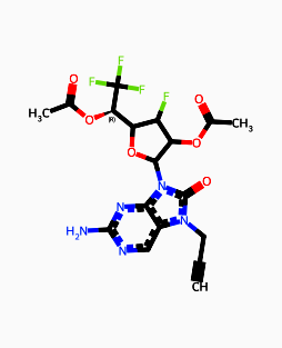 C#CCn1c(=O)n(C2OC([C@@H](OC(C)=O)C(F)(F)F)C(F)C2OC(C)=O)c2nc(N)ncc21